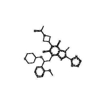 COc1ccccc1C(Cn1c(=O)n(C2CN(C(C)=O)C2)c(=O)c2c(C)c(-c3ncco3)sc21)OC1CCOCC1